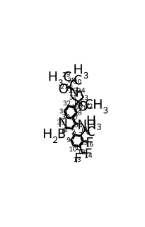 Bc1cc(N[C@H](C)c2cccc(C(F)F)c2F)c2cc([C@@]3(OC)CCN(C(=O)C(C)C)C3)ccc2n1